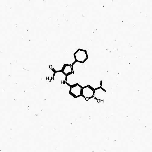 CC(C)C1=Cc2cc(Nc3nn(C4CCCCC4)cc3C(N)=O)ccc2OB1O